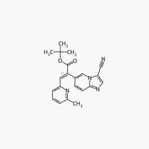 Cc1cccc(/C=C(/C(=O)OC(C)(C)C)c2ccc3ncc(C#N)n3c2)n1